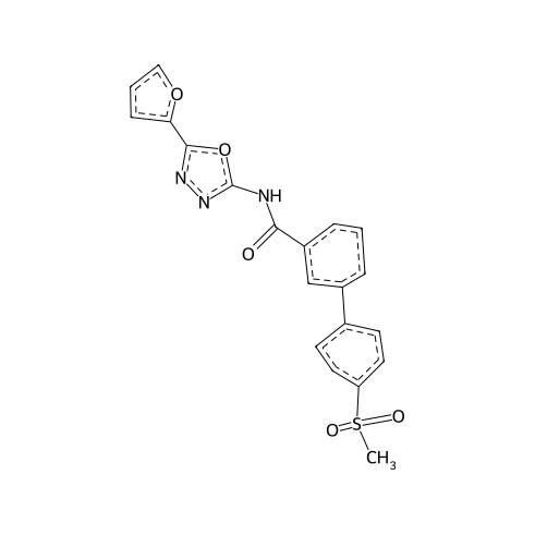 CS(=O)(=O)c1ccc(-c2cccc(C(=O)Nc3nnc(-c4ccco4)o3)c2)cc1